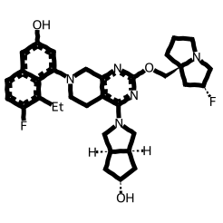 CCc1c(F)ccc2cc(O)cc(N3CCc4c(nc(OC[C@@]56CCCN5C[C@H](F)C6)nc4N4C[C@H]5C[C@H](O)C[C@H]5C4)C3)c12